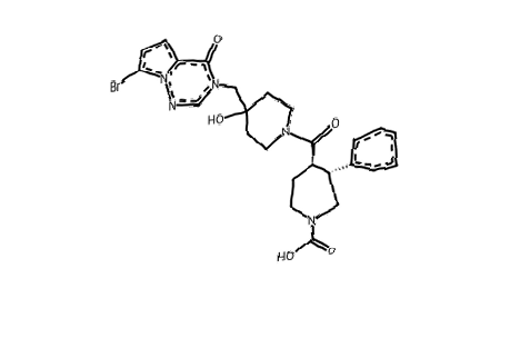 O=C(O)N1CC[C@@H](C(=O)N2CCC(O)(Cn3cnn4c(Br)ccc4c3=O)CC2)[C@H](c2ccccc2)C1